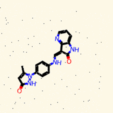 Cc1cc(=O)[nH]n1-c1ccc(NC=C2C(=O)Nc3cccnc32)cc1